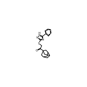 O=C(CSc1n[nH]c(-c2ccccc2)n1)C12CC3CC(C1)C(C3)C2